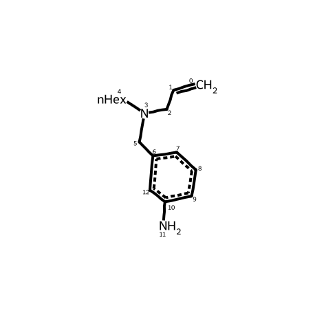 C=CCN(CCCCCC)Cc1cccc(N)c1